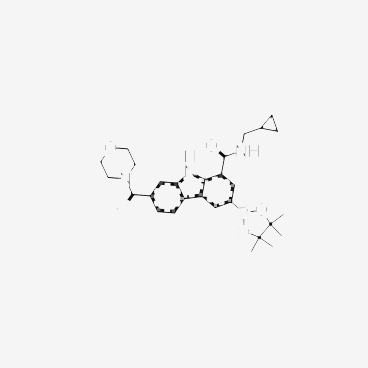 C[C@@H]1CN(C(=O)c2ccc3c(c2)[nH]c2c(C(=O)NCC4CC4)cc(B4OC(C)(C)C(C)(C)O4)cc23)C[C@H](C)O1